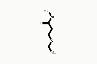 CC(C)(C)CSCCC(=O)NC(C)(C)C